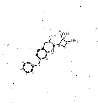 CCCN(Cc1ccc(Oc2ccccc2)cc1)C(=O)C1CC(N)C1C(=O)O